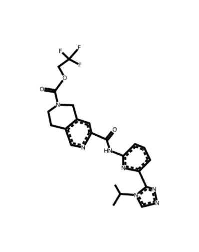 CC(C)n1cnnc1-c1cccc(NC(=O)c2cc3c(cn2)CCN(C(=O)OCC(F)(F)F)C3)n1